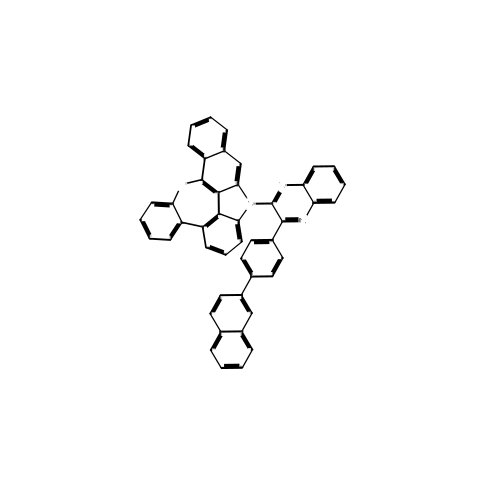 c1ccc2cc(-c3ccc(-c4nc5ccccc5nc4-n4c5cccc6c7ccccc7oc7c8ccccc8cc4c7c65)cc3)ccc2c1